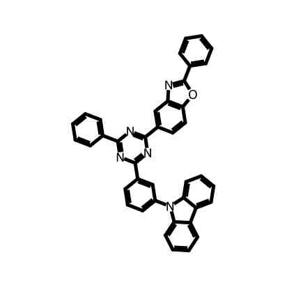 c1ccc(-c2nc(-c3cccc(-n4c5ccccc5c5ccccc54)c3)nc(-c3ccc4oc(-c5ccccc5)nc4c3)n2)cc1